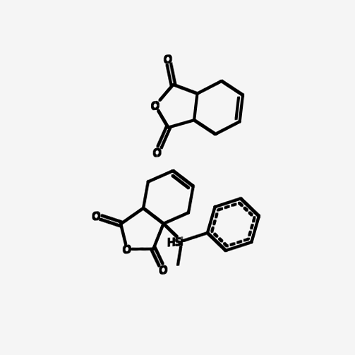 C[SiH](c1ccccc1)C12CC=CCC1C(=O)OC2=O.O=C1OC(=O)C2CC=CCC12